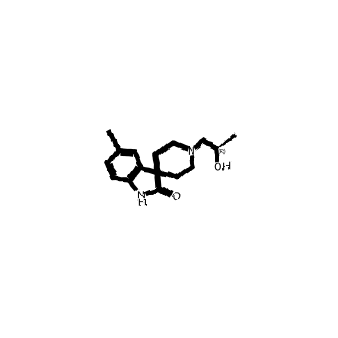 Cc1ccc2c(c1)C1(CCN(C[C@@H](C)O)CC1)C(=O)N2